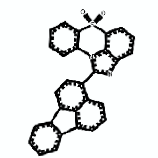 O=S1(=O)c2ccccc2-n2c(-c3ccc4c5c(cccc35)-c3ccccc3-4)nc3cccc1c32